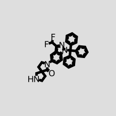 O=C1N(c2ccc3c(c2)c(C(F)F)nn3C(c2ccccc2)(c2ccccc2)c2ccccc2)CCC12CCNC2